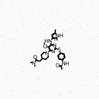 COc1c(Nc2cc(C)[nH]n2)nc(Sc2ccc(NC(C)=O)cc2)nc1N1CCC(CC(=O)N(C)C)CC1